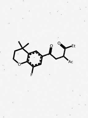 CCC(=O)C(CC(=O)c1cc(F)c2c(c1)C(C)(C)CCO2)C(C)=O